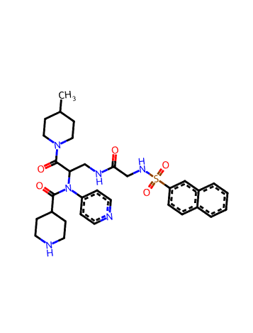 CC1CCN(C(=O)C(CNC(=O)CNS(=O)(=O)c2ccc3ccccc3c2)N(C(=O)C2CCNCC2)c2ccncc2)CC1